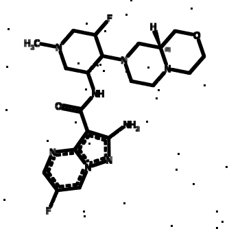 CN1CC(F)C(N2CCN3CCOC[C@H]3C2)C(NC(=O)c2c(N)nn3cc(F)cnc23)C1